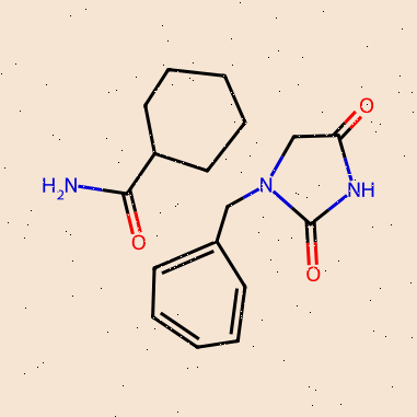 NC(=O)C1CCCCC1.O=C1CN(Cc2ccccc2)C(=O)N1